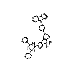 FC1(F)c2ccc(-c3ccc(-n4c5ccccc5c5ccccc54)cc3)cc2-c2cc(-c3nc(-c4ccccc4)nc(-c4ccccc4)n3)ccc21